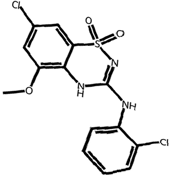 COc1cc(Cl)cc2c1NC(Nc1ccccc1Cl)=NS2(=O)=O